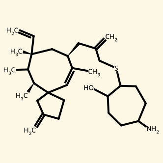 C=C[C@]1(C)C[C@@H](CC(=C)CSC2CCC(N)CCC2O)/C(C)=C\C2(CCC(=C)C2)[C@@H](C)C1C